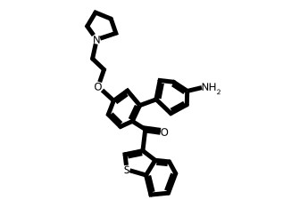 Nc1ccc(-c2cc(OCCN3CCCC3)ccc2C(=O)c2csc3ccccc23)cc1